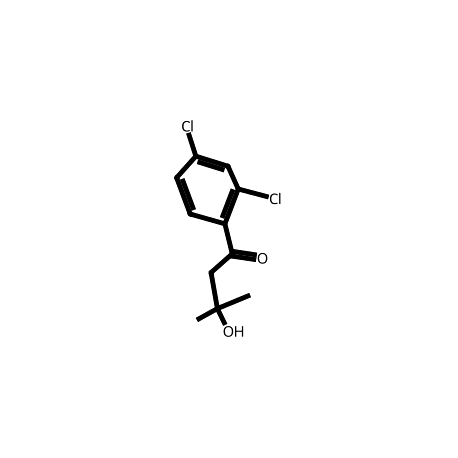 CC(C)(O)CC(=O)c1ccc(Cl)cc1Cl